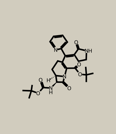 CC(C)(C)OC(=O)N[C@@H]1C(=O)N2C(C(=O)OC(C)(C)C)=C(C(=C3CCNC3=O)c3ccccn3)CC[C@H]12